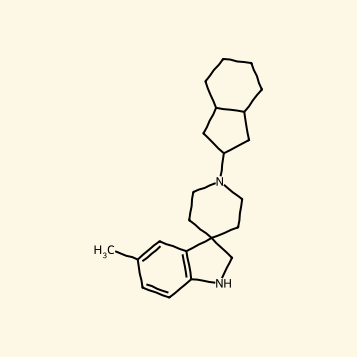 Cc1ccc2c(c1)C1(CCN(C3CC4CCCCC4C3)CC1)CN2